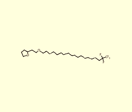 FC(F)(F)C(F)(F)CCCCCCCCCCCCCCCCCOCCC1CCCO1